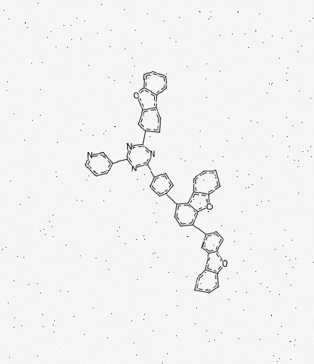 c1cncc(-c2nc(-c3ccc(-c4ccc(-c5ccc6oc7ccccc7c6c5)c5oc6ccccc6c45)cc3)nc(-c3ccc4c(c3)oc3ccccc34)n2)c1